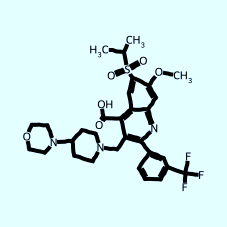 COc1cc2nc(-c3cccc(C(F)(F)F)c3)c(CN3CCC(N4CCOCC4)CC3)c(C(=O)O)c2cc1S(=O)(=O)C(C)C